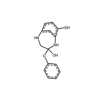 Oc1ccc2cc1NC(O)(Oc1ccccc1)CN2